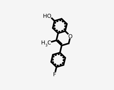 CC1=C(c2ccc(F)cc2)COc2ccc(O)cc21